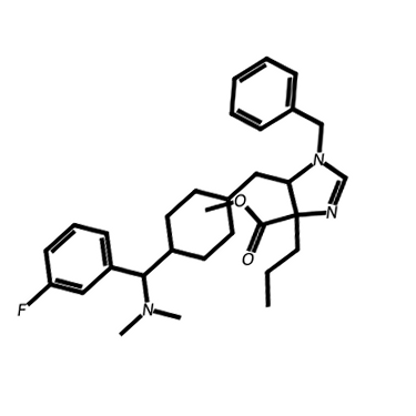 CCCC1(C(=O)OC)N=CN(Cc2ccccc2)C1CC1CCC(C(c2cccc(F)c2)N(C)C)CC1